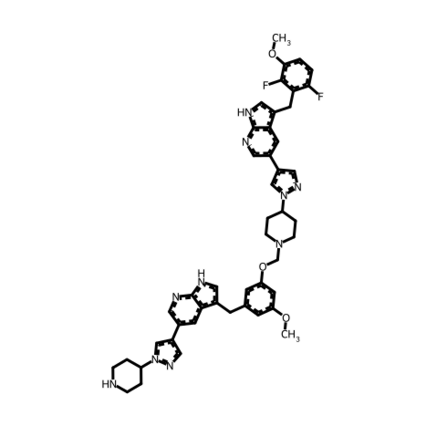 COc1cc(Cc2c[nH]c3ncc(-c4cnn(C5CCNCC5)c4)cc23)cc(OCN2CCC(n3cc(-c4cnc5[nH]cc(Cc6c(F)ccc(OC)c6F)c5c4)cn3)CC2)c1